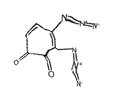 [N-]=[N+]=NC1=C(N=[N+]=[N-])C(=O)C(=O)C=C1